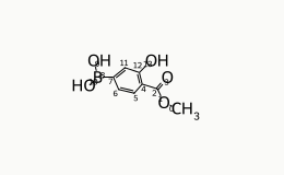 COC(=O)c1ccc(B(O)O)cc1O